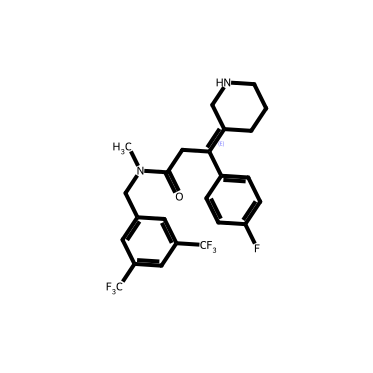 CN(Cc1cc(C(F)(F)F)cc(C(F)(F)F)c1)C(=O)C/C(=C1/CCCNC1)c1ccc(F)cc1